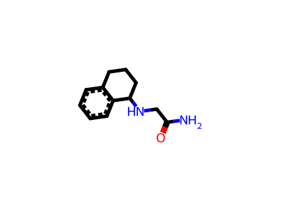 NC(=O)CNC1CCCc2ccccc21